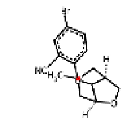 CN1C[C@H]2CO[C@@H](C1)C2Oc1ccc(Br)cc1C#N